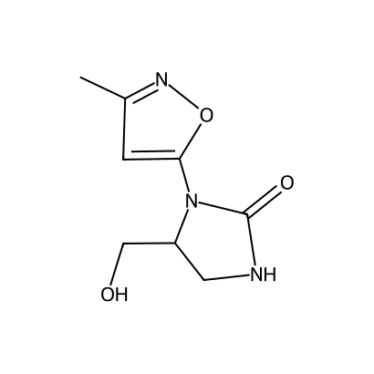 Cc1cc(N2C(=O)NCC2CO)on1